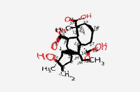 C=C1CC2(C[C@]1(C)O)C(C(=O)O)C1[C@@](C(=O)O)(CCC[C@@]1(C)C(=O)O)C2CC